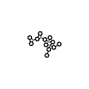 c1ccc(-c2ccc([Si]3(c4cccc(-c5ccccc5)c4)c4ccccc4[Si](c4ccccc4)(c4ccc(-n5c6ccccc6c6cc(-n7c8ccccc8c8ccccc87)ccc65)cc4)c4ccccc43)cc2)cc1